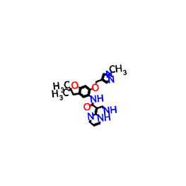 Cn1cc(COc2cc3c(cc2NC(=O)/C(C=N)=C2\N=CC=CN2)CC(C)(C)O3)cn1